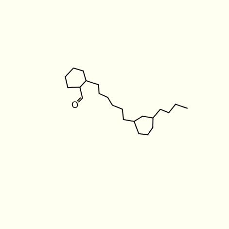 CCCCC1CCCC(CCCCCCC2CCCCC2C=O)C1